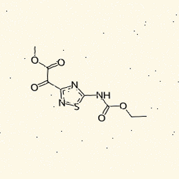 CCOC(=O)Nc1nc(C(=O)C(=O)OC)ns1